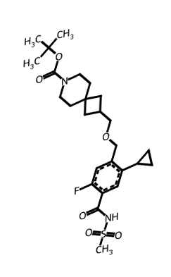 CC(C)(C)OC(=O)N1CCC2(CC1)CC(COCc1cc(F)c(C(=O)NS(C)(=O)=O)cc1C1CC1)C2